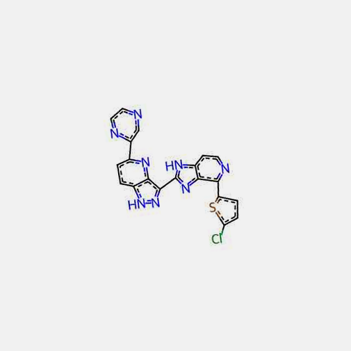 Clc1ccc(-c2nccc3[nH]c(-c4n[nH]c5ccc(-c6cnccn6)nc45)nc23)s1